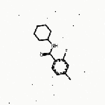 Cc1ccc(C(=O)NC2CCCCC2)c(F)c1